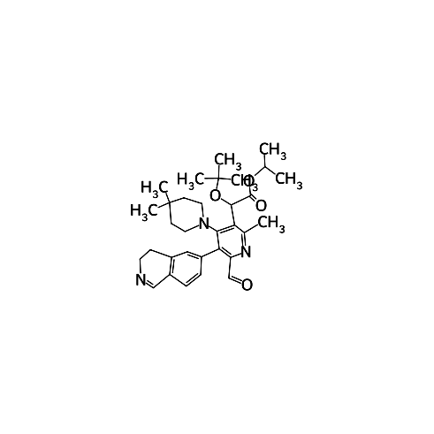 Cc1nc(C=O)c(-c2ccc3c(c2)CCN=C3)c(N2CCC(C)(C)CC2)c1C(OC(C)(C)C)C(=O)OC(C)C